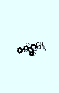 CC1(C)C=Cc2c(c3occc3c3oc(-c4ccccc4)cc(=O)c23)O1